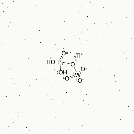 O=P(O)(O)[O][W](=[O])(=[O])[O-].[Tl+]